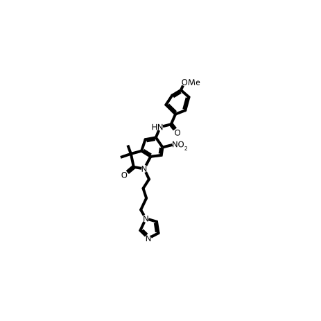 COc1ccc(C(=O)Nc2cc3c(cc2[N+](=O)[O-])N(CCCCn2ccnc2)C(=O)C3(C)C)cc1